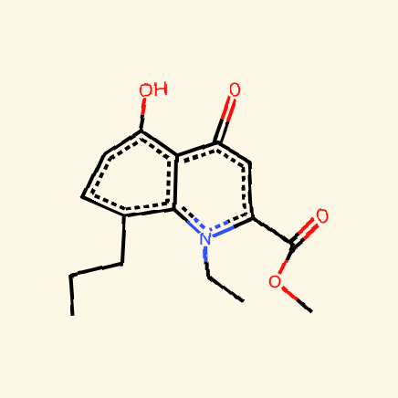 CCCc1ccc(O)c2c(=O)cc(C(=O)OC)n(CC)c12